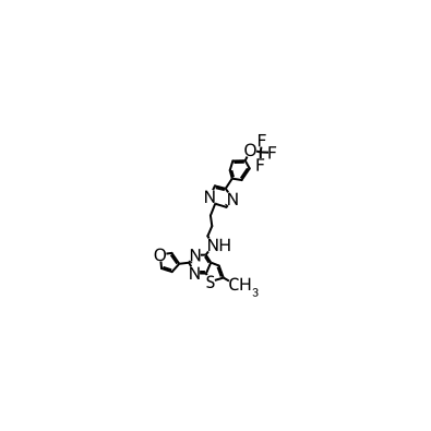 Cc1cc2c(NCCCc3cnc(-c4ccc(OC(F)(F)F)cc4)cn3)nc(-c3ccoc3)nc2s1